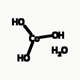 O.[OH][Co]([OH])[OH]